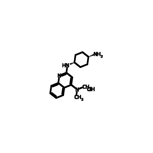 CN(C)c1cc(N[C@H]2CC[C@@H](N)CC2)nc2ccccc12.Cl